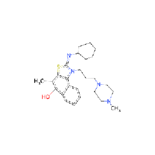 Cc1c(O)c2ccccc2c2c1sc(=NC1CCCCC1)n2CCCN1CCN(C)CC1